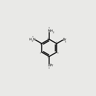 CCCc1cc(N)c(N)c(Br)c1